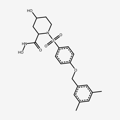 Cc1cc(C)cc(COc2ccc(S(=O)(=O)N3CCC(O)CC3C(=O)NO)cc2)c1